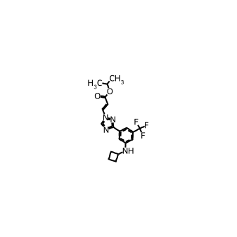 CC(C)OC(=O)C=Cn1cnc(-c2cc(NC3CCC3)cc(C(F)(F)F)c2)n1